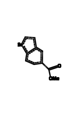 COC(=O)c1ccc2[se]ccc2c1